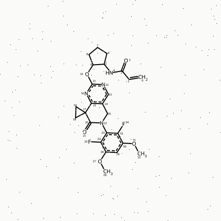 C=CC(=O)NC1CCCC1Oc1ncc2c(n1)C1(CC1)C(=O)N(c1c(F)c(OC)cc(OC)c1F)C2